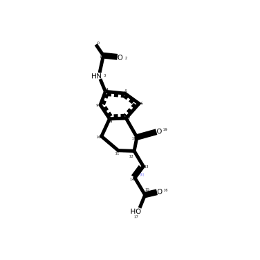 CC(=O)Nc1ccc2c(c1)CCC(/C=C/C(=O)O)C2=O